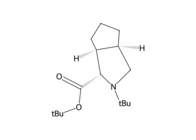 CC(C)(C)OC(=O)[C@@H]1[C@H]2CCC[C@H]2CN1C(C)(C)C